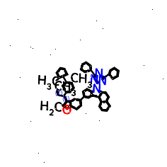 C=c1oc2ccc(-c3ccc4c(c3)c3c5ccccc5ccc3n4-c3nc(-c4ccccc4)nc(-c4ccccc4)n3)cc2/c1=C(/C=C\C)c1ccc(C)c(-c2ccccc2C)c1